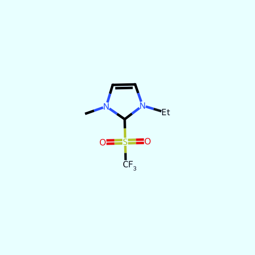 CCN1C=CN(C)C1S(=O)(=O)C(F)(F)F